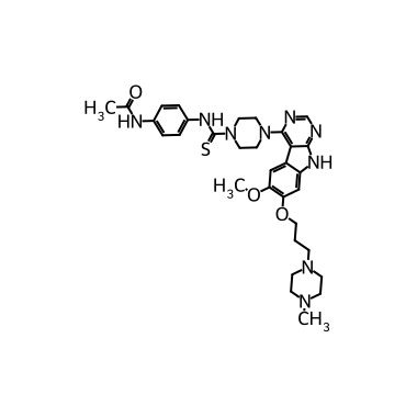 COc1cc2c(cc1OCCCN1CCN(C)CC1)[nH]c1ncnc(N3CCN(C(=S)Nc4ccc(NC(C)=O)cc4)CC3)c12